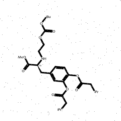 CCC(C)OC(=O)OCCN[C@@H](Cc1ccc(OC(=O)CC(C)C)c(OC(=O)CC(C)C)c1)C(=O)OC